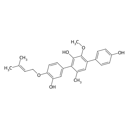 COc1c(-c2ccc(O)cc2)cc(C)c(-c2ccc(OCC=C(C)C)c(O)c2)c1O